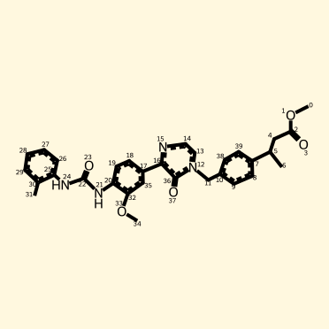 COC(=O)CC(C)c1ccc(Cn2ccnc(-c3ccc(NC(=O)Nc4ccccc4C)c(OC)c3)c2=O)cc1